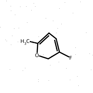 CC1=CC=C(F)CO1